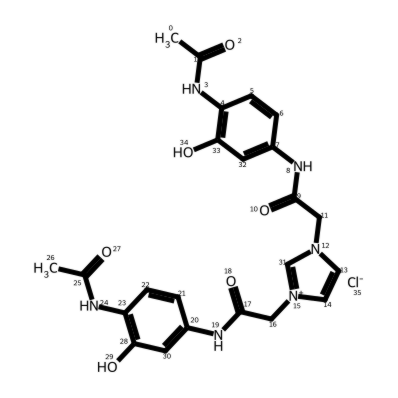 CC(=O)Nc1ccc(NC(=O)Cn2cc[n+](CC(=O)Nc3ccc(NC(C)=O)c(O)c3)c2)cc1O.[Cl-]